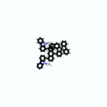 Cn1c2ccccc2c2cccc(-c3cccc4c(-c5cccc6c5-c5c(ccc7ccccc57)C65c6ccccc6-c6ccccc65)c5cccc(-c6cccc7c8ccccc8n(C)c67)c5cc34)c21